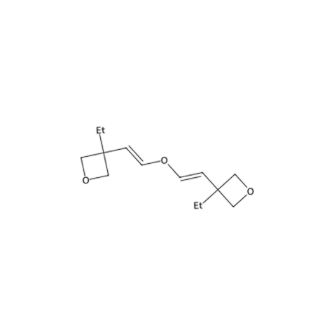 CCC1(C=COC=CC2(CC)COC2)COC1